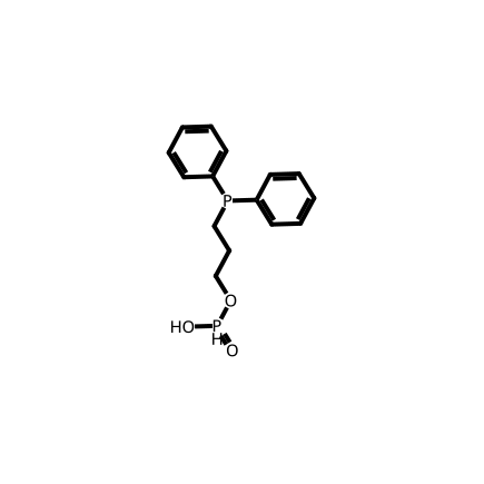 O=[PH](O)OCCCP(c1ccccc1)c1ccccc1